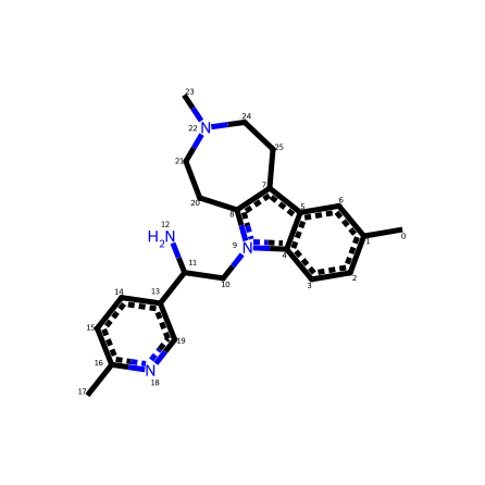 Cc1ccc2c(c1)c1c(n2CC(N)c2ccc(C)nc2)CCN(C)CC1